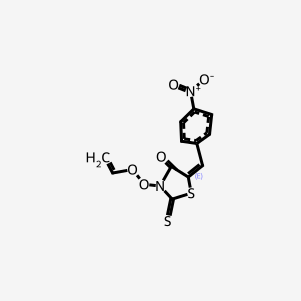 C=COON1C(=O)/C(=C\c2ccc([N+](=O)[O-])cc2)SC1=S